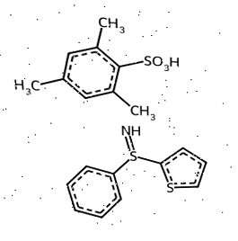 Cc1cc(C)c(S(=O)(=O)O)c(C)c1.N=S(c1ccccc1)c1cccs1